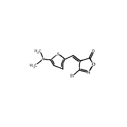 CCC1=NOC(=O)/C1=C/c1ccc(N(C)C)s1